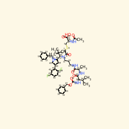 CC(=O)N[C@@H](CSCC(=O)N(CCCNC(=O)[C@H](C)NC(=O)[C@@H](NC(=O)OCc1ccccc1)C(C)C)[C@@H](c1cc(-c2cc(F)ccc2F)cn1Cc1ccccc1)C(C)(C)C)C(=O)O